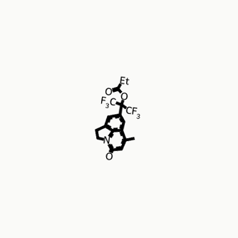 CCC(=O)OC(c1cc2c3c(c1)c(C)cc(=O)n3CC2)(C(F)(F)F)C(F)(F)F